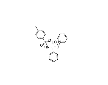 Cc1ccc(S(=O)(=O)NC(Oc2ccccc2)(C(=O)O)c2ccccc2)cc1